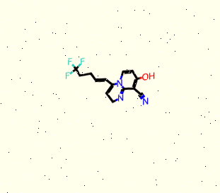 N#CC1=C(O)C=CN2C(/C=C/CCC(F)(F)F)=CCN=C12